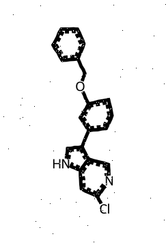 Clc1cc2[nH]cc(-c3cccc(OCc4ccccc4)c3)c2cn1